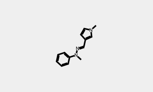 CN(/N=C/c1ccn(C)c1)c1ccccc1